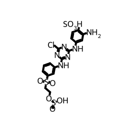 Nc1cc(Nc2nc(Cl)nc(Nc3cccc(S(=O)(=O)CCOS(=O)O)c3)n2)ccc1S(=O)(=O)O